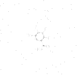 O=C(O)c1cc(Br)c(F)c(F)c1F